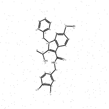 CC(C)Oc1ccc2c(C(=O)NCc3ccc(F)c(F)c3)c(C(C)O)n(Cc3ccccn3)c2c1